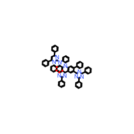 c1ccc(-c2cc(-c3cc(-c4nc(-c5ccccc5)nc(-c5ccccc5)n4)c(-c4ccccc4)cc3N3c4ccccc4N(c4nc(-c5ccccc5)cc(-c5ccccc5)n4)c4ccccc43)nc(-c3ccccc3)n2)cc1